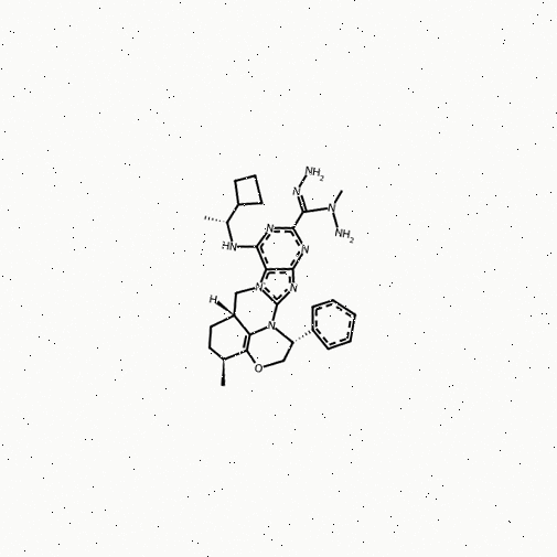 C[C@H]1CC[C@@H]2Cn3c(nc4nc(/C(=N/N)N(C)N)nc(N[C@H](C)C5CCC5)c43)N3C2=C1OC[C@H]3c1ccccc1